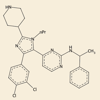 CCCn1c(C2CCNCC2)nc(-c2ccc(Cl)c(Cl)c2)c1-c1ccnc(NC(C)c2ccccc2)n1